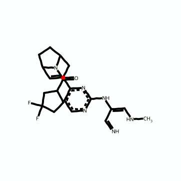 CN/C=C(\C=N)Nc1nccc(C2=CC3CCC(C2)N3C(=O)C2CCC(F)(F)C2)n1